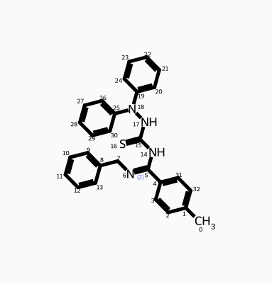 Cc1ccc(/C(=N/Cc2ccccc2)NC(=S)NN(c2ccccc2)c2ccccc2)cc1